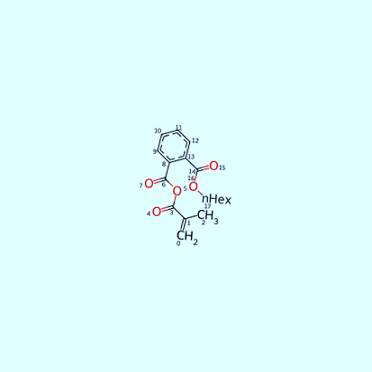 C=C(C)C(=O)OC(=O)c1ccccc1C(=O)OCCCCCC